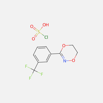 FC(F)(F)c1cccc(C2=NOCCO2)c1.O=S(=O)(O)Cl